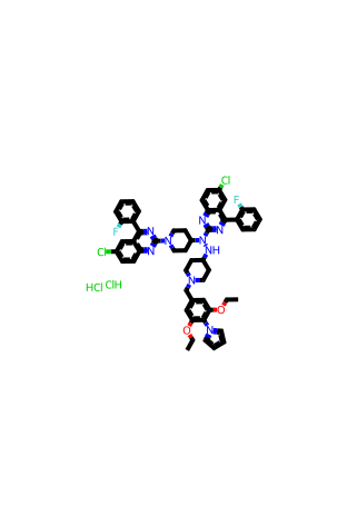 CCOc1cc(CN2CCC(NN(c3nc(-c4ccccc4F)c4cc(Cl)ccc4n3)C3CCN(c4nc(-c5ccccc5F)c5cc(Cl)ccc5n4)CC3)CC2)cc(OCC)c1-n1cccc1.Cl.Cl